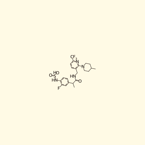 CC1CCN(c2nc(C(F)(F)F)ccc2CNC(=O)C(C)c2ccc(N[SH](=O)=O)c(F)c2)CC1